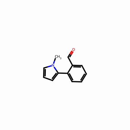 Cn1cccc1-c1ccccc1C=O